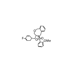 COc1ccccc1S(=O)(=O)N1Cc2ccccc2COCC1CC1C=CC(F)=CC1